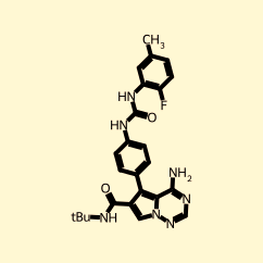 Cc1ccc(F)c(NC(=O)Nc2ccc(-c3c(C(=O)NC(C)(C)C)cn4ncnc(N)c34)cc2)c1